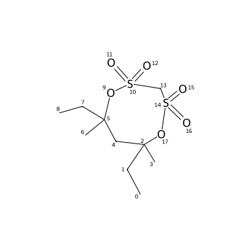 CCC1(C)CC(C)(CC)OS(=O)(=O)CS(=O)(=O)O1